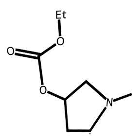 CCOC(=O)OC1C[CH]N(C)C1